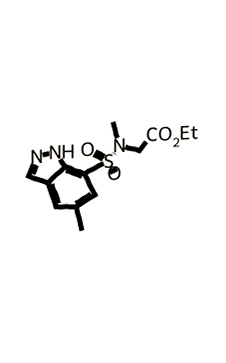 CCOC(=O)CN(C)S(=O)(=O)c1cc(C)cc2cn[nH]c12